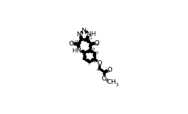 COC(=O)COc1ccc2[nH]c(=O)c3nn[nH]c3c(=O)c2c1